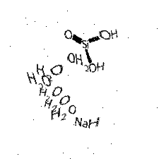 O.O.O.O.O.O.O=[Si](O)O.[NaH]